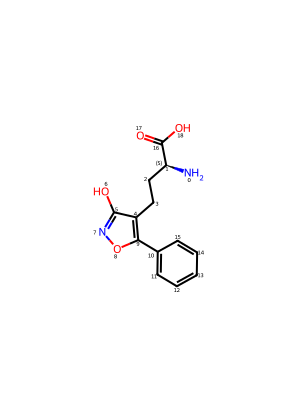 N[C@@H](CCc1c(O)noc1-c1ccccc1)C(=O)O